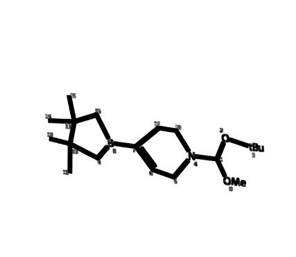 COC(OC(C)(C)C)N1CC=C(B2CC(C)(C)C(C)(C)C2)CC1